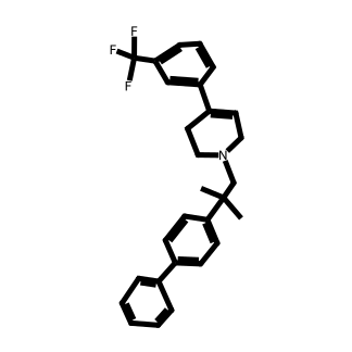 CC(C)(CN1CC=C(c2cccc(C(F)(F)F)c2)CC1)c1ccc(-c2ccccc2)cc1